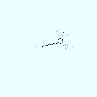 CC(O)CCCC=CC=C1C[C@@H](O[Si](C)(C)C(C)(C)C)C[C@H](O[Si](C)(C)C(C)(C)C)C1